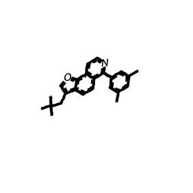 Cc1cc(C)cc(-c2nccc3c2ccc2c(CC(C)(C)C)coc23)c1